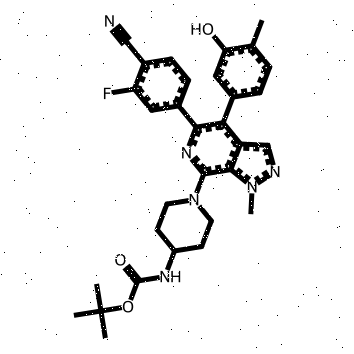 Cc1ccc(-c2c(-c3ccc(C#N)c(F)c3)nc(N3CCC(NC(=O)OC(C)(C)C)CC3)c3c2cnn3C)cc1O